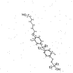 CCC(O)(CC)CCc1ccc(C(CC)(CC)c2ccc(OCCCCCC(=O)O)c(C)c2)cc1C